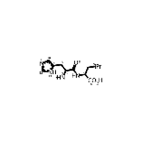 CC(C)CC(NC(=O)C([NH])Cc1cnc[nH]1)C(=O)O